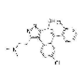 CN(C)CCc1nnc(CO)n1-c1ccc(Cl)cc1C(=O)c1ccccc1Cl